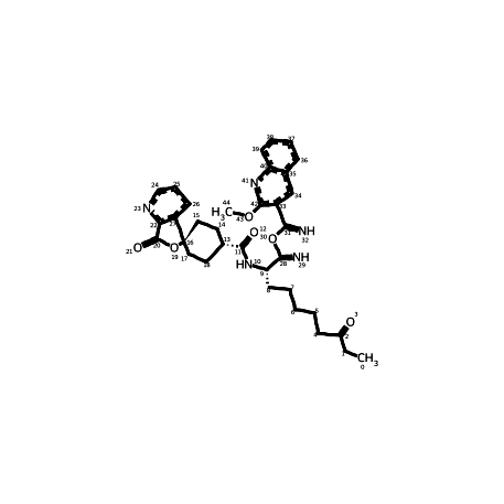 CCC(=O)CCCCC[C@H](NC(=O)[C@H]1CC[C@@]2(CC1)OC(=O)c1ncccc12)C(=N)OC(=N)c1cc2ccccc2nc1OC